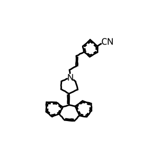 N#Cc1ccc(C=CCN2CCC(=C3c4ccccc4C=Cc4ccccc43)CC2)cc1